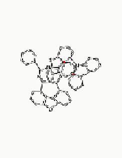 c1ccc(-c2nc(-c3ccccc3)nc(-c3cccc4oc5cccc(-c6ccc7sc8cccc(-n9c%10ccccc%10c%10ccccc%109)c8c7c6)c5c34)n2)cc1